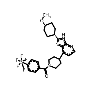 CO[C@H]1CC[C@@H](c2nc3c(C4CCN(C(=O)c5ccc(S(F)(F)(F)(F)F)cc5)CC4)ccnc3[nH]2)CC1